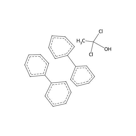 CC(O)(Cl)Cl.c1ccc(-c2ccccc2)cc1.c1ccc(-c2ccccc2)cc1